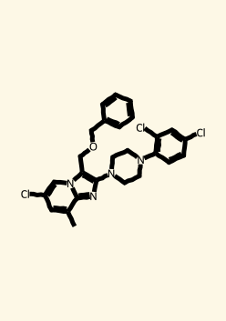 Cc1cc(Cl)cn2c(COCc3ccccc3)c(N3CCN(c4ccc(Cl)cc4Cl)CC3)nc12